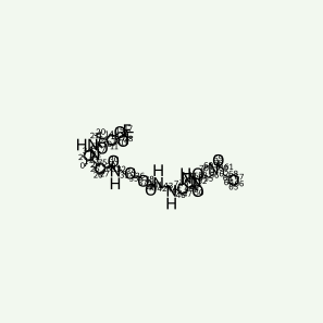 Cc1ccc(NC(=O)C2(c3ccc4c(c3)OC(F)(F)O4)CC2)nc1-c1cccc(C(=O)NCCOCCOCC(=O)NCCNc2ccc3c(=O)n(CC4(O)CCN(C(=O)[C@H](C)Cc5ccccc5)CC4)cnc3c2)c1